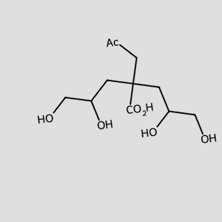 CC(=O)CC(CC(O)CO)(CC(O)CO)C(=O)O